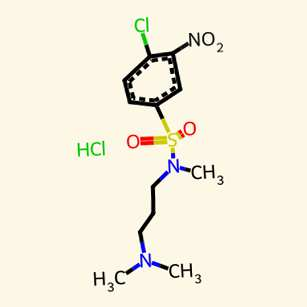 CN(C)CCCN(C)S(=O)(=O)c1ccc(Cl)c([N+](=O)[O-])c1.Cl